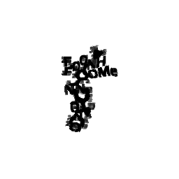 COc1cc(-c2cnc3cc(C4(C(=O)N5CCOCC5)CC4)ccn23)cc(OC(F)F)c1C(=O)NC1CC1